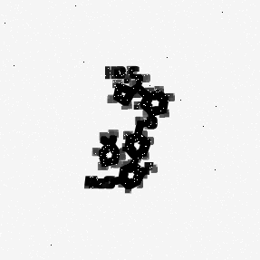 COc1ccc(F)c(-c2ccc(COc3cccc([C@H](CC(=O)O)C4CCC4)c3)cc2[C@@H]2CCCC2(C)C)c1